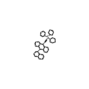 C(#CS(c1ccccc1)(c1ccccc1)c1ccccc1)c1c2ccccc2c(-c2cccc3ccccc23)c2ccccc12